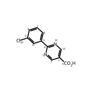 O=C(O)c1cnc(-c2cccc(Cl)c2)nc1